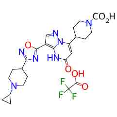 O=C(O)C(F)(F)F.O=C(O)N1CCC(c2cc(=O)[nH]c3c(-c4nc(C5CCN(C6CC6)CC5)no4)cnn23)CC1